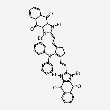 CCN1C(=C/C=C2\CCC(/C=C/c3n(CC)c4c([n+]3CC)C(=O)c3ccccc3C4=O)=C2N(c2ccccc2)c2ccccc2)N(CC)C2C(=O)C3C=CC=CC3C(=O)C21